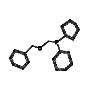 c1ccc(COCP(c2ccccc2)c2ccccc2)cc1